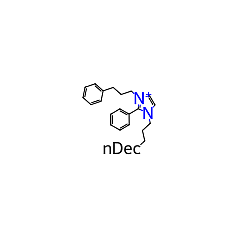 CCCCCCCCCCCCCn1cc[n+](CCCc2ccccc2)c1-c1ccccc1